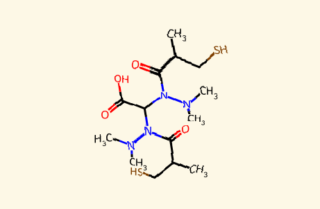 CC(CS)C(=O)N(C(C(=O)O)N(C(=O)C(C)CS)N(C)C)N(C)C